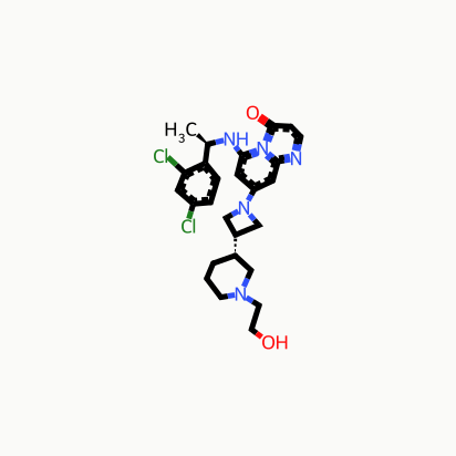 C[C@@H](Nc1cc(N2CC([C@H]3CCCN(CCO)C3)C2)cc2nccc(=O)n12)c1ccc(Cl)cc1Cl